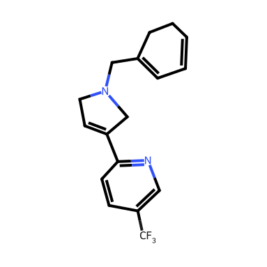 FC(F)(F)c1ccc(C2=CCN(CC3=CC=CCC3)C2)nc1